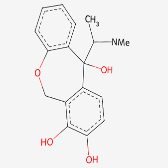 CNC(C)C1(O)c2ccccc2OCc2c1ccc(O)c2O